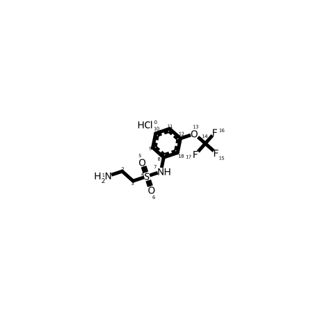 Cl.NCCS(=O)(=O)Nc1cccc(OC(F)(F)F)c1